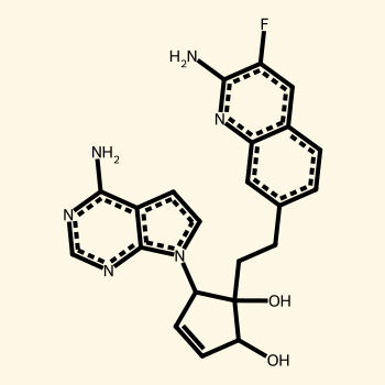 Nc1nc2cc(CCC3(O)C(O)C=CC3n3ccc4c(N)ncnc43)ccc2cc1F